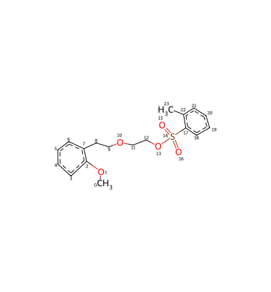 COc1ccccc1CCOCCOS(=O)(=O)c1ccccc1C